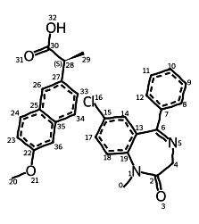 CN1C(=O)CN=C(c2ccccc2)c2cc(Cl)ccc21.COc1ccc2cc([C@H](C)C(=O)O)ccc2c1